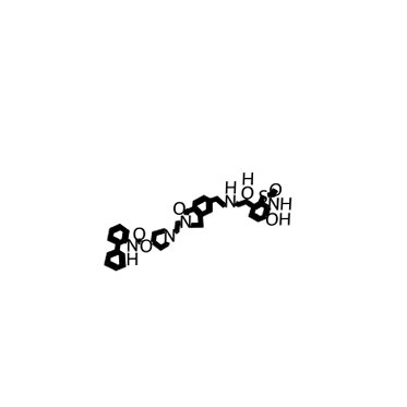 O=C(Nc1ccccc1-c1ccccc1)OC1CCN(CCN2CCc3cc(CCNC[C@@H](O)c4ccc(O)c5[nH]c(=O)sc45)ccc3C2=O)CC1